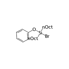 CCCCCCCC[Si](Br)(CCCCCCCC)Oc1ccccc1